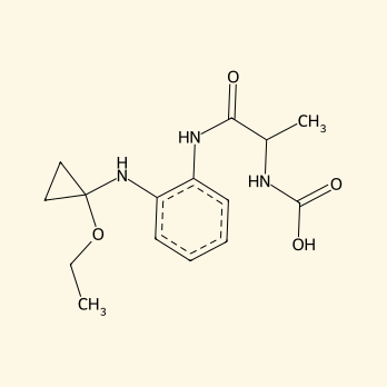 CCOC1(Nc2ccccc2NC(=O)C(C)NC(=O)O)CC1